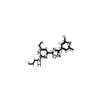 CCCNc1nc(CC)cc(-c2nc(-c3cc(C)nc(C)c3)no2)n1